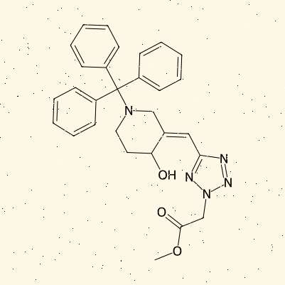 COC(=O)Cn1nnc(/C=C2/CN(C(c3ccccc3)(c3ccccc3)c3ccccc3)CCC2O)n1